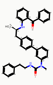 CN(C(=O)NCCc1ccccc1)c1cccc(-c2ccc(C[C@H](Nc3ccccc3C(=O)c3ccccc3)C(=O)O)cc2)c1